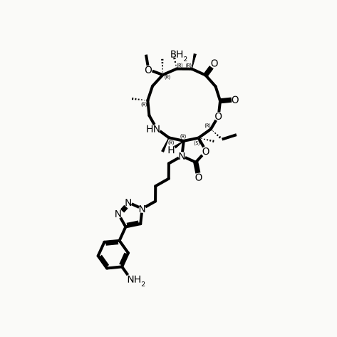 B[C@@H]1[C@@H](C)C(=O)CC(=O)O[C@H](CC)[C@@]2(C)OC(=O)N(CCCCn3cc(-c4cccc(N)c4)nn3)[C@@H]2[C@@H](C)NC[C@H](C)C[C@@]1(C)OC